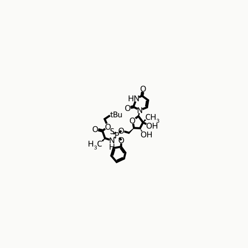 C[C@H](NP(=S)(OC[C@H]1O[C@@H](n2ccc(=O)[nH]c2=O)[C@](C)(O)[C@@H]1O)Oc1ccccc1)C(=O)OCC(C)(C)C